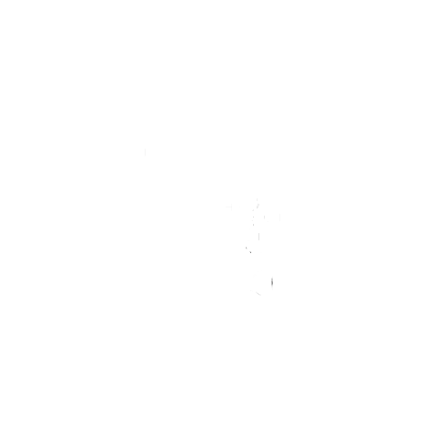 CCCCCCCCCCCC(Cc1ccccc1)N(C)C.CS(=O)(=O)O